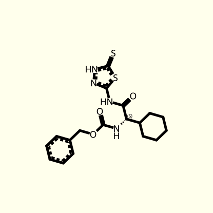 O=C(N[C@H](C(=O)Nc1n[nH]c(=S)s1)C1CCCCC1)OCc1ccccc1